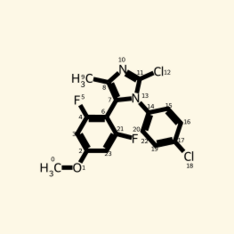 COc1cc(F)c(-c2c(C)nc(Cl)n2-c2ccc(Cl)cc2)c(F)c1